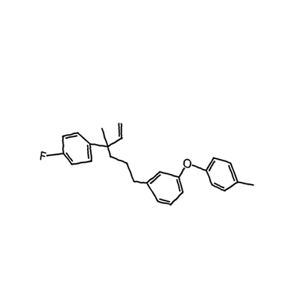 C=CC(C)(CCCc1cccc(Oc2ccc(C)cc2)c1)c1ccc(F)cc1